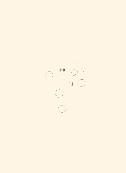 CC(C)[C@H](C(=O)OC(C#N)c1cccc(Oc2ccccc2)c1)c1ccc(OC(F)F)cc1.N#Cc1nn(-c2c(Cl)cc(C(F)(F)F)cc2Cl)c(N)c1[S+]([O-])C(F)(F)F